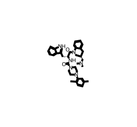 Cc1ccc(C)c(N2CCN(C(=O)N[C@H](Cc3c[nH]c4ccccc34)C(=O)N3C[C@@H](CN(C)C)Cc4ccccc43)CC2)c1